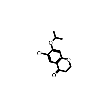 CC(C)Oc1cc2c(cc1Cl)C(=O)CCO2